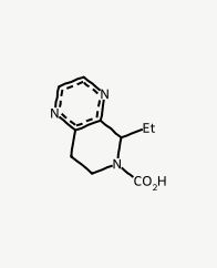 CCC1c2nccnc2CCN1C(=O)O